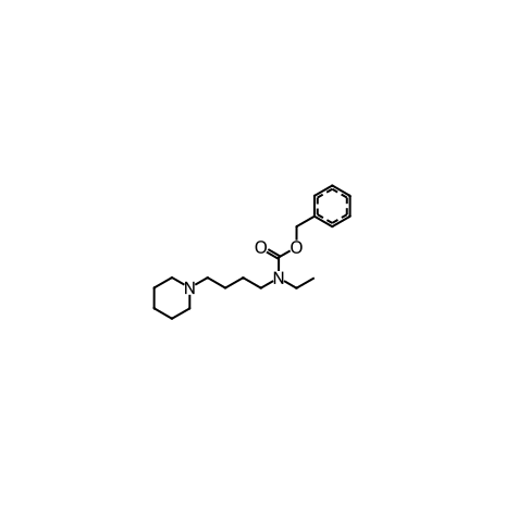 CCN(CCCCN1CCCCC1)C(=O)OCc1ccccc1